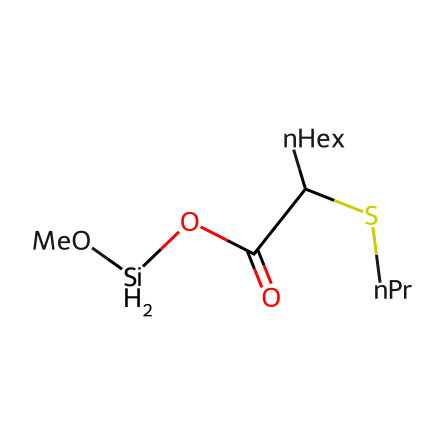 CCCCCCC(SCCC)C(=O)O[SiH2]OC